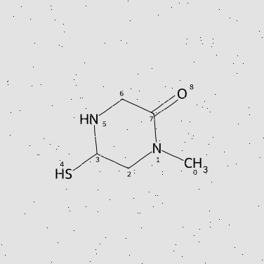 CN1CC(S)NCC1=O